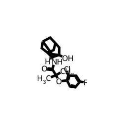 CC(C)(Oc1ccc(F)cc1Cl)C(=O)N[C@H]1C2CC3CC(C2)CC1(O)C3